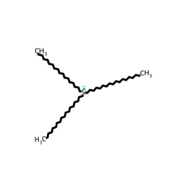 CCCCCCCCCCCCCCCCCC[Si](F)(CCCCCCCCCCCCCCCCCC)CCCCCCCCCCCCCCCCCC